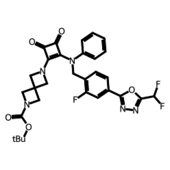 CC(C)(C)OC(=O)N1CC2(C1)CN(c1c(N(Cc3ccc(-c4nnc(C(F)F)o4)cc3F)c3ccccc3)c(=O)c1=O)C2